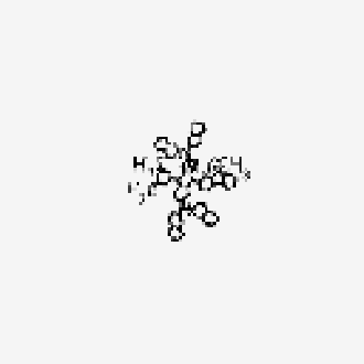 Cc1cc(C)cc(-c2c3ccc(N(C4=CCC5CCC=CC5=C4)c4ccc5ccccc5c4)cc3c(-c3ccc4c(c3)C(C)(C)c3ccccc3-4)c3ccc(N(c4ccc5ccccc5c4)c4ccc5ccccc5c4)cc23)c1